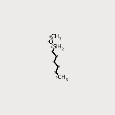 CCCCCC[SiH2]OC